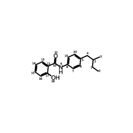 CCC(C)Cc1ccc(NC(=O)c2ccccc2O)cc1